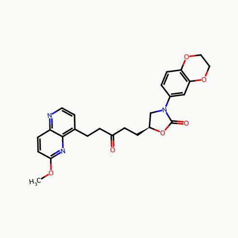 COc1ccc2nccc(CCC(=O)CC[C@H]3CN(c4ccc5c(c4)OCCO5)C(=O)O3)c2n1